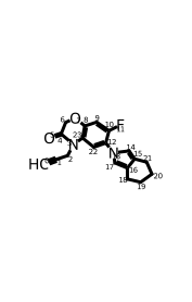 C#CCN1C(=O)COc2cc(F)c(-n3cc4c(c3)CCCC4)cc21